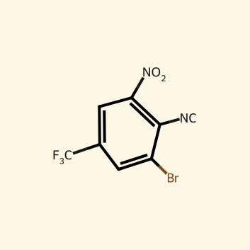 [C-]#[N+]c1c(Br)cc(C(F)(F)F)cc1[N+](=O)[O-]